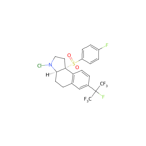 O=S(=O)(c1ccc(F)cc1)[C@@]12CCN(Cl)[C@@H]1CCc1cc(C(F)(C(F)(F)F)C(F)(F)F)ccc12